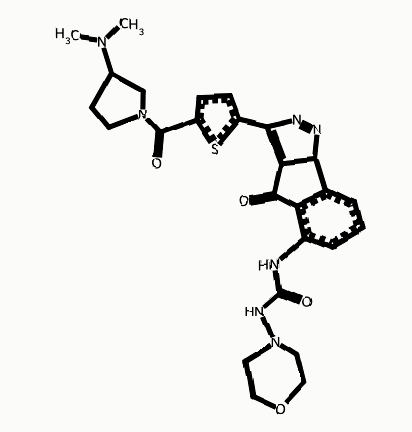 CN(C)C1CCN(C(=O)c2ccc(C3=C4C(=O)c5c(NC(=O)NN6CCOCC6)cccc5C4N=N3)s2)C1